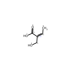 C/C=C(/CO)C(=O)O